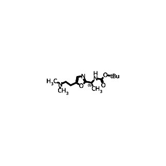 C[C@H](NC(=O)OC(C)(C)C)c1ncc(CCN(C)C)o1